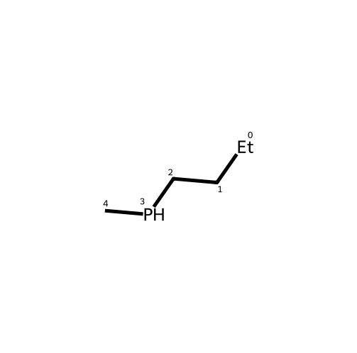 CCCCPC